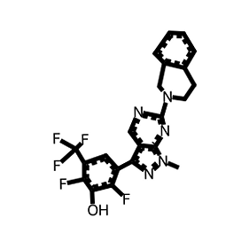 Cn1nc(-c2cc(C(F)(F)F)c(F)c(O)c2F)c2cnc(N3CCc4ccccc4C3)nc21